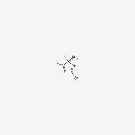 CC(=O)C1=NC(C)(N)C(C)=C1